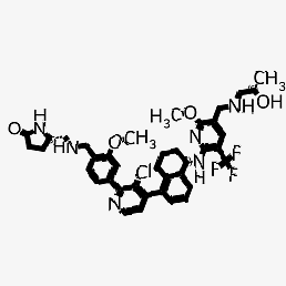 COc1cc(-c2nccc(-c3cccc4c3CCC[C@@H]4Nc3nc(OC)c(CNC[C@H](C)O)cc3C(F)(F)F)c2Cl)ccc1CNC[C@@H]1CCC(=O)N1